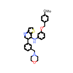 COc1ccc(COc2cccc(Nc3c(-c4cccc(CN5CCOCC5)c4)cnc4ccsc34)c2)cc1